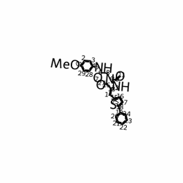 COc1ccc(NC(=O)CN2C(=O)N/C(=C\c3ccc(-c4ccccc4)s3)C2=O)cc1